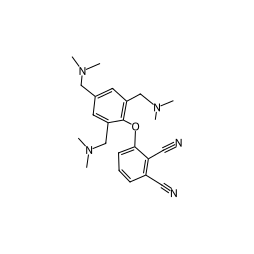 CN(C)Cc1cc(CN(C)C)c(Oc2cccc(C#N)c2C#N)c(CN(C)C)c1